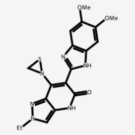 CCn1cc2[nH]c(=O)c(-c3nc4cc(OC)c(OC)cc4[nH]3)c(N3CS3)c2n1